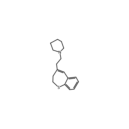 C1=C(CCN2CCCCC2)CCSc2ccccc21